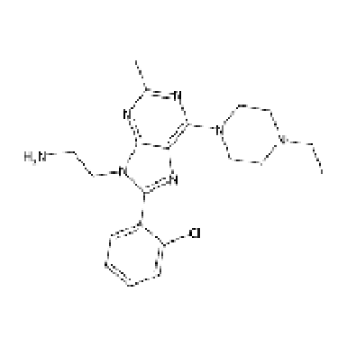 CCN1CCN(c2nc(C)nc3c2nc(-c2ccccc2Cl)n3CCN)CC1